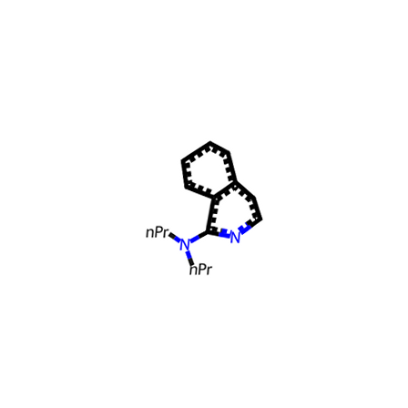 CCCN(CCC)c1nccc2ccccc12